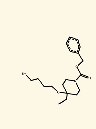 CC(C)CCCCOC1(CI)CCN(C(=O)OCc2ccccc2)CC1